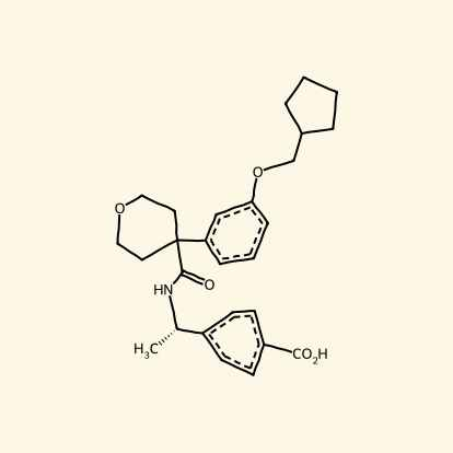 C[C@H](NC(=O)C1(c2cccc(OCC3CCCC3)c2)CCOCC1)c1ccc(C(=O)O)cc1